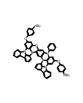 CCCCc1ccc(Oc2cc3c4c(c2)-n2c5ccccc5c5cccc(c52)B4c2cc4c(cc2O3)N(c2ccccc2)c2cc(Oc3ccc(CCCC)cc3)cc3c2B4c2cccc4c5ccccc5n-3c24)cc1